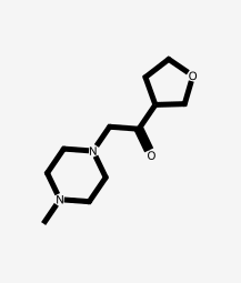 CN1CCN(CC(=O)C2CCOC2)CC1